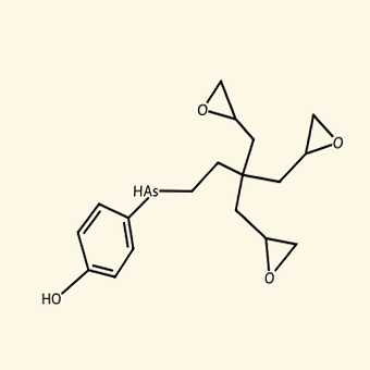 Oc1ccc([AsH]CCC(CC2CO2)(CC2CO2)CC2CO2)cc1